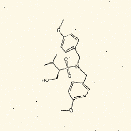 COc1ccc(CN(Cc2ccc(OC)cc2)S(=O)(=O)[C@@H](CO)C(C)C)cc1